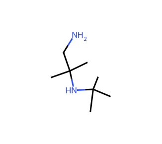 CC(C)(C)NC(C)(C)CN